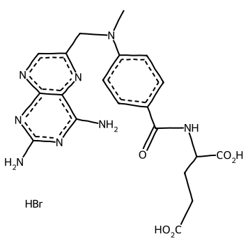 Br.CN(Cc1cnc2nc(N)nc(N)c2n1)c1ccc(C(=O)NC(CCC(=O)O)C(=O)O)cc1